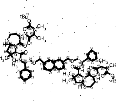 C[C@@H](C(=O)N[C@H]1CCS[C@H]2CC(C)(C)[C@H](C(=O)N[C@H](COCc3ccc4ccc(COC[C@@H](NC(=O)[C@H]5N6C(=O)[C@@H](NC(=O)[C@H](C)N(C)C(=O)OC(C)(C)C)CCS[C@H]6CC5(C)C)c5ccccc5)cc4c3)c3ccccc3)N2C1=O)N(C)C(=O)OC(C)(C)C